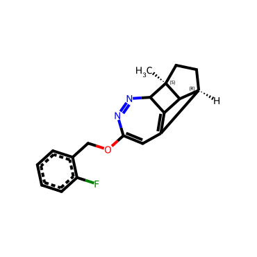 C[C@@]12CC[C@H]3C4=C(C1N=NC(OCc1ccccc1F)=C4)C32